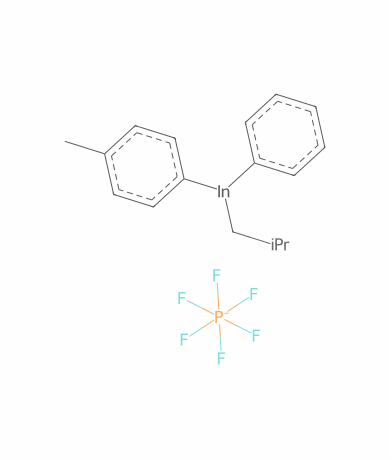 Cc1cc[c]([In]([CH2]C(C)C)[c]2ccccc2)cc1.F[P-](F)(F)(F)(F)F